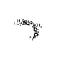 CC(CCOc1ccc(OC(C)(C)C(=O)O)cc1)Oc1ccc(Oc2ccc(C(F)(F)F)cc2)cc1